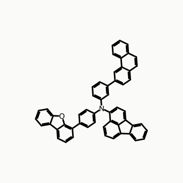 c1cc(-c2ccc3ccc4ccccc4c3c2)cc(N(c2ccc(-c3cccc4c3oc3ccccc34)cc2)c2ccc3c4c(cccc24)-c2ccccc2-3)c1